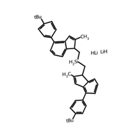 CC1=Cc2c(-c3ccc(C(C)(C)C)cc3)cccc2C1C[SiH2]CC1C(C)=Cc2c(-c3ccc(C(C)(C)C)cc3)cccc21.[LiH].[LiH]